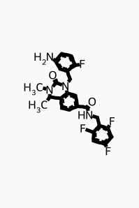 CC1c2ccc(C(=O)NCc3c(F)cc(F)cc3F)cc2N(Cc2cc(N)ccc2F)C(=O)N1C